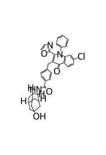 O=C(N[C@@H]1[C@@H]2C[C@@H]3C[C@H]1C[C@@](O)(C3)C2)c1ccc(Cc2c(-c3ncco3)n(-c3ccccc3)c3cc(Cl)ccc3c2=O)cc1